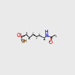 CC(=O)NCCCCCCC(=O)S